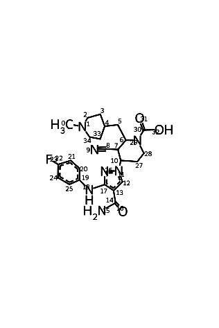 CN1CCC(CC2C(C#N)C(n3cc(C(N)=O)c(Nc4ccc(F)cc4)n3)CCN2C(=O)O)CC1